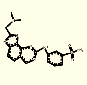 CN(C)Cc1nc2ccc3cnc(Nc4cccc(S(N)(=O)=O)c4)nc3c2s1